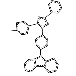 Cc1ccc(-c2nc(-c3ccccc3)nn2-c2ccc(-n3c4ccccc4c4ccccc43)cc2)cc1